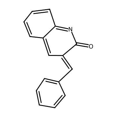 O=C1N=c2ccccc2=CC1=Cc1ccccc1